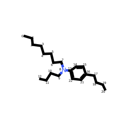 CCCCCCCCN(CCCC)c1ccc(CCCC)cc1